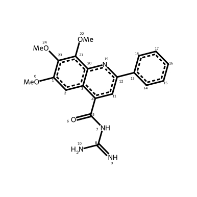 COc1cc2c(C(=O)NC(=N)N)cc(-c3ccccc3)nc2c(OC)c1OC